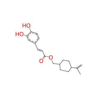 C=C(C)C1CCC(COC(=O)/C=C/c2ccc(O)c(O)c2)CC1